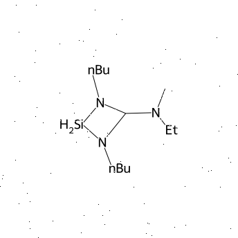 CCCCN1[SiH2]N(CCCC)C1N(C)CC